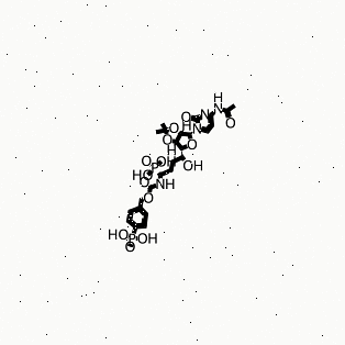 CC(=O)Nc1ccn([C@@H]2O[C@H](C(O)CCC(NC(=O)OCc3ccc(P(=O)(O)O)cc3)P(=O)(O)O)[C@H]3OC(C)(C)O[C@H]32)c(=O)n1